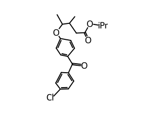 CC(C)OC(=O)CC(C)C(C)Oc1ccc(C(=O)c2ccc(Cl)cc2)cc1